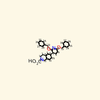 O=C(O)N1CCc2cc(-c3ccc(OCc4ccccc4)nc3OCc3ccccc3)ccc2C1